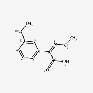 CON=C(C(=O)O)c1cccc(OC)c1